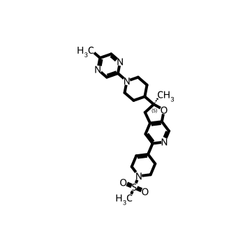 Cc1cnc(N2CCC([C@]3(C)Cc4cc(C5=CCN(S(C)(=O)=O)CC5)ncc4O3)CC2)cn1